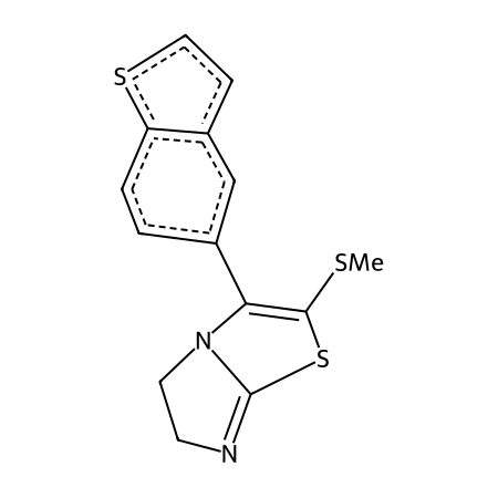 CSC1=C(c2ccc3sccc3c2)N2CCN=C2S1